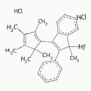 CC1=C(C)C(C)(C)C(C2=C(c3ccccc3)[C](C)([Hf])c3ccccc32)=C1C.Cl.Cl